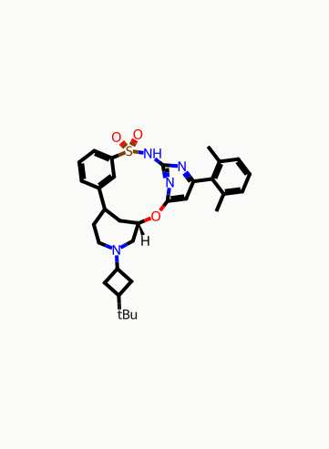 Cc1cccc(C)c1-c1cc2nc(n1)NS(=O)(=O)c1cccc(c1)C1CCN(C3CC(C(C)(C)C)C3)C[C@H](C1)O2